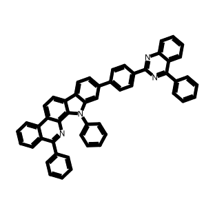 c1ccc(-c2nc(-c3ccc(-c4ccc5c6ccc7c8ccccc8c(-c8ccccc8)nc7c6n(-c6ccccc6)c5c4)cc3)nc3ccccc23)cc1